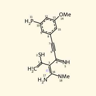 C=C(S)/C(C(=N)C#Cc1cc(P)cc(OC)c1)=C(\N)NC